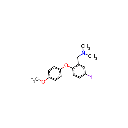 CN(C)Cc1cc(I)ccc1Oc1ccc(OC(F)(F)F)cc1